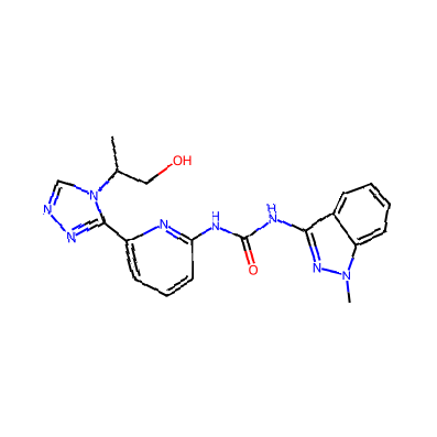 CC(CO)n1cnnc1-c1cccc(NC(=O)Nc2nn(C)c3ccccc23)n1